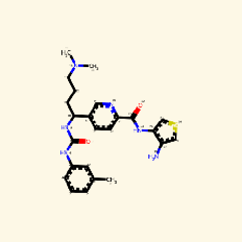 Cc1cccc(NC(=O)NC(CCCN(C)C)c2ccc(C(=O)Nc3cscc3N)nc2)c1